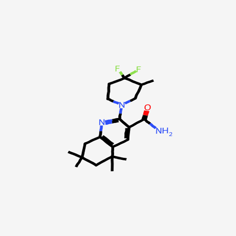 CC1CN(c2nc3c(cc2C(N)=O)C(C)(C)CC(C)(C)C3)CCC1(F)F